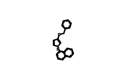 C1=C[SH](c2cccc3ccccc23)C=C1OCc1ccccc1